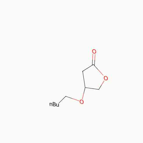 CCCCCOC1COC(=O)C1